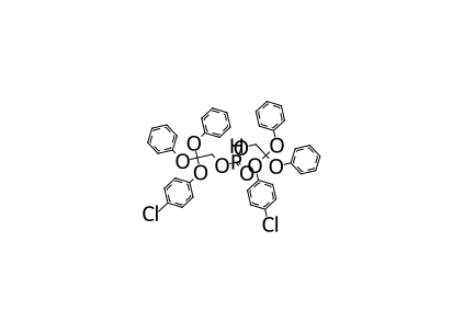 O=[PH](OCC(Oc1ccccc1)(Oc1ccccc1)Oc1ccc(Cl)cc1)OCC(Oc1ccccc1)(Oc1ccccc1)Oc1ccc(Cl)cc1